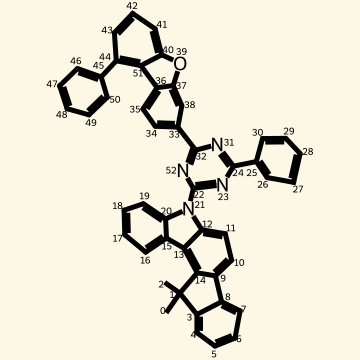 CC1(C)c2ccccc2-c2ccc3c(c21)c1ccccc1n3-c1nc(-c2ccccc2)nc(-c2ccc3c(c2)oc2cccc(-c4ccccc4)c23)n1